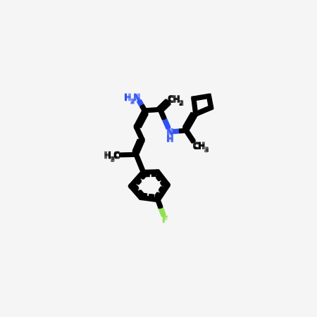 C=C(NC(C)=C1CCC1)/C(N)=C\C=C(/C)c1ccc(F)cc1